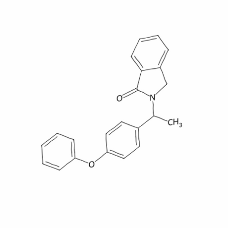 CC(c1ccc(Oc2ccccc2)cc1)N1Cc2ccccc2C1=O